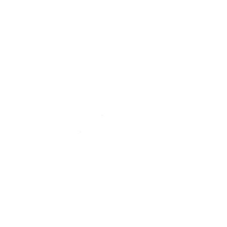 C=C(OC(=O)CC(=O)O)c1ccccc1